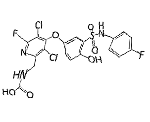 O=C(O)NCc1nc(F)c(Cl)c(Oc2ccc(O)c(S(=O)(=O)Nc3ccc(F)cc3)c2)c1Cl